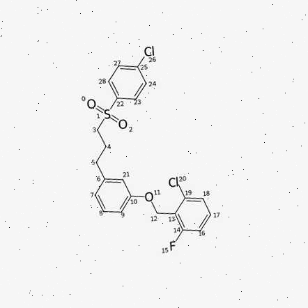 O=S(=O)(CCCc1cccc(OCc2c(F)cccc2Cl)c1)c1ccc(Cl)cc1